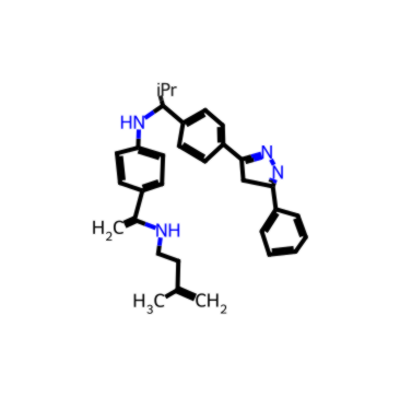 C=C(C)CCNC(=C)c1ccc(NC(c2ccc(C3=NN=C(c4ccccc4)C3)cc2)C(C)C)cc1